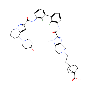 Cn1c(C(=O)Nc2cccc(-c3cccc(NC(=O)c4cc5n(n4)CCCC5N4CCC(O)CC4)c3Cl)c2Cl)nc2c1CCN(CCC13CCC(C(=O)O)(CC1)C3)C2